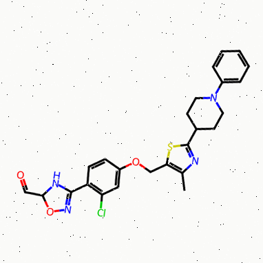 Cc1nc(C2CCN(c3ccccc3)CC2)sc1COc1ccc(C2=NOC(C=O)N2)c(Cl)c1